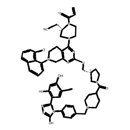 C=CC(=O)N1CCN(c2nc(OC[C@@H]3CCN(C(=O)C4CCN(Cc5ccc(-n6c(O)nnc6-c6cc(C)c(O)cc6O)cc5)CC4)C3)nc3c2CCN(c2cccc4cccc(Cl)c24)C3)C[C@@H]1CC#N